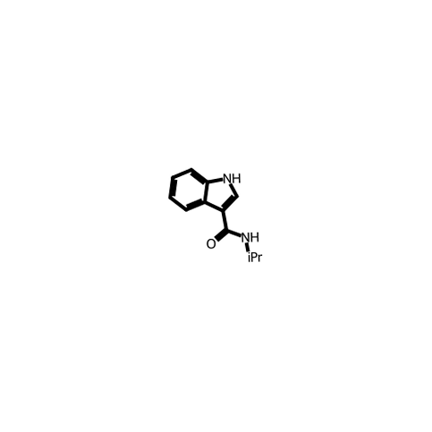 CC(C)NC(=O)c1c[nH]c2ccccc12